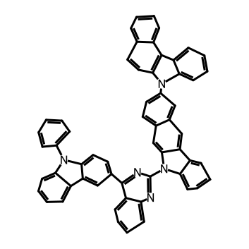 c1ccc(-n2c3ccccc3c3cc(-c4nc(-n5c6ccccc6c6cc7cc(-n8c9ccccc9c9c%10ccccc%10ccc98)ccc7cc65)nc5ccccc45)ccc32)cc1